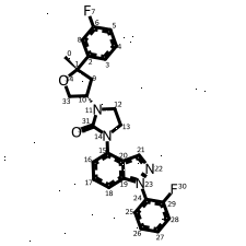 C[C@@]1(c2cccc(F)c2)C[C@H](N2CCN(c3cccc4c3cnn4-c3ccccc3F)C2=O)CO1